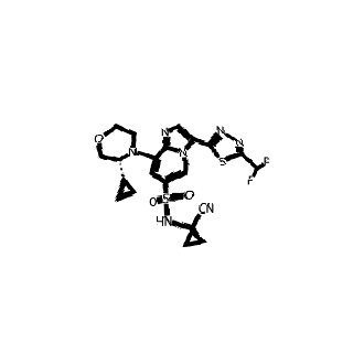 N#CC1(NS(=O)(=O)c2cc(N3CCOC[C@H]3C3CC3)c3ncc(-c4nnc(C(F)F)s4)n3c2)CC1